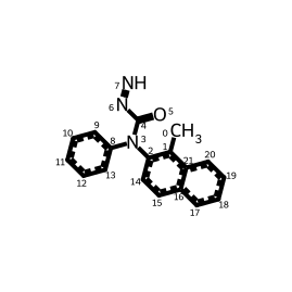 Cc1c(N(C(=O)N=N)c2ccccc2)ccc2ccccc12